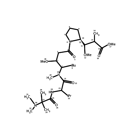 CCC(C)C(C(CC(=O)N1CCC[C@H]1C(OC)C(C)C(=O)OC)OC)N(C)C(=O)C(NC(=O)C(C)(C)N(C)C)C(C)C